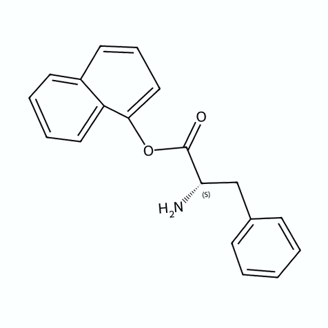 N[C@@H](Cc1ccccc1)C(=O)Oc1cccc2ccccc12